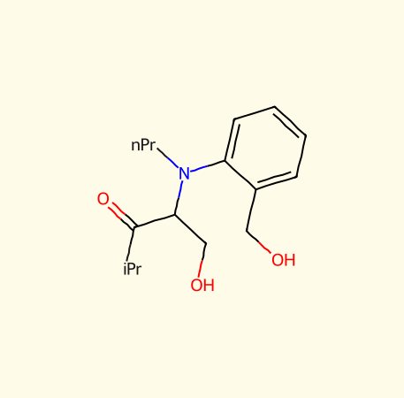 [CH2]CCN(c1ccccc1CO)C(CO)C(=O)C(C)C